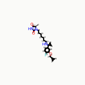 C[C@@H]1C(=O)NC(=O)N1CCCCCCCNC1(c2ccc(F)c(OCC3CC3)c2)CC1